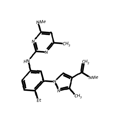 C=C(NC)c1cn(-c2cc(Nc3nc(C)cc(NC)n3)ccc2CC)nc1C